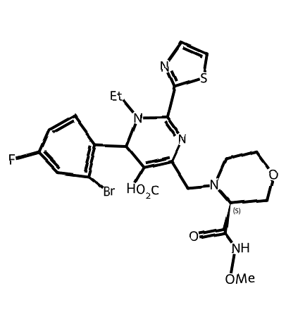 CCN1C(c2nccs2)=NC(CN2CCOC[C@H]2C(=O)NOC)=C(C(=O)O)C1c1ccc(F)cc1Br